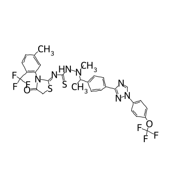 Cc1ccc(C(F)(F)F)c(N2C(=O)CS/C2=N\C(=S)NN(C)C(C)c2ccc(-c3ncn(-c4ccc(OC(F)(F)F)cc4)n3)cc2)c1